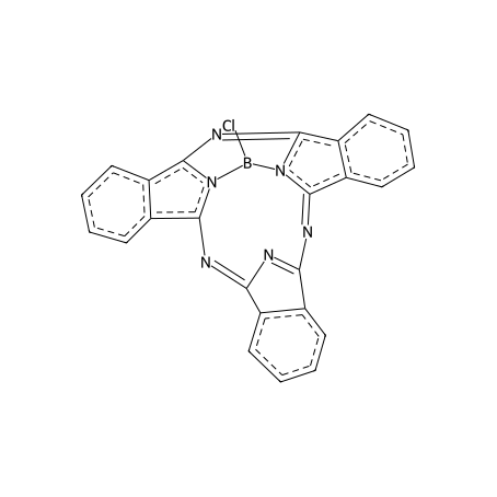 ClB1n2c3c4ccccc4c2N=c2c4ccccc4c(n21)=NC1=NC(=N3)c2ccccc21